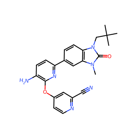 Cn1c(=O)n(CC(C)(C)C)c2ccc(-c3ccc(N)c(Oc4ccnc(C#N)c4)n3)cc21